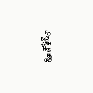 O=S(=O)=C(CNCCc1nc(-c2cc3c(Nc4ccc(OCc5cccc(F)c5)c(Br)c4)ncnc3cn2)cs1)c1ccccn1